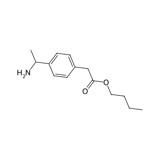 CCCCOC(=O)Cc1ccc(C(C)N)cc1